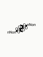 CCCCCCCCCC(=O)O[C@H]1CO[C@H]2[C@@H]1OC[C@H]2OC(=O)CCCCCCCCC